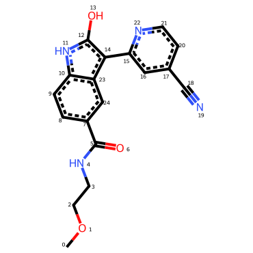 COCCNC(=O)c1ccc2[nH]c(O)c(-c3cc(C#N)ccn3)c2c1